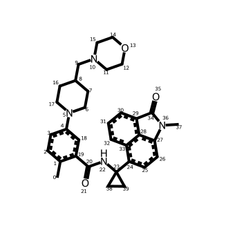 Cc1ccc(N2CCC(CN3CCOCC3)CC2)cc1C(=O)NC1(c2ccc3c4c(cccc24)C(=O)N3C)CC1